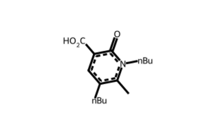 CCCCc1cc(C(=O)O)c(=O)n(CCCC)c1C